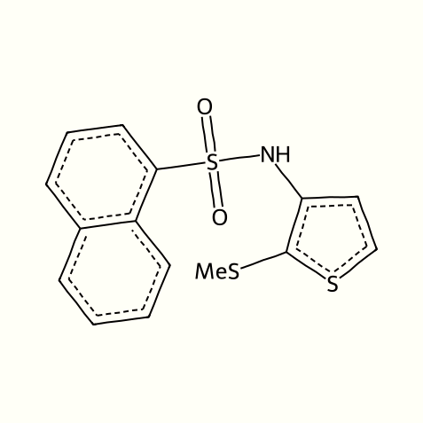 CSc1sccc1NS(=O)(=O)c1cccc2ccccc12